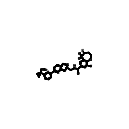 COC1(c2cccc(-c3ccc4cnc(CNC(=O)c5cc(F)c6c(c5)S(=O)(=O)[C@@H](F)CCO6)cc4n3)n2)CC1